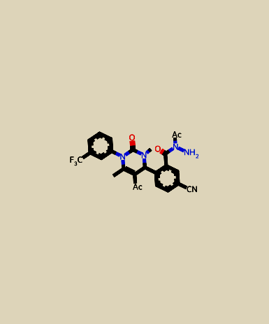 CC(=O)C1=C(C)N(c2cccc(C(F)(F)F)c2)C(=O)N(C)C1c1ccc(C#N)cc1C(=O)N(N)C(C)=O